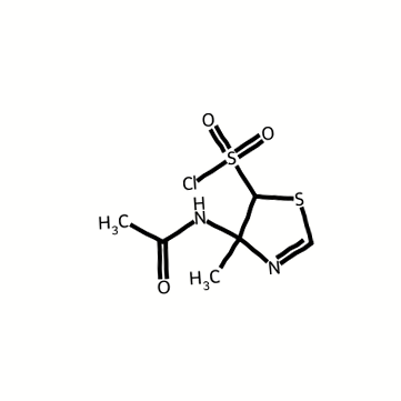 CC(=O)NC1(C)N=CSC1S(=O)(=O)Cl